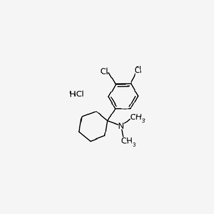 CN(C)C1(c2ccc(Cl)c(Cl)c2)CCCCC1.Cl